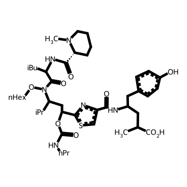 CCCCCCON(C(=O)C(NC(=O)[C@H]1CCCCN1C)C(C)CC)C(CC(OC(=O)NCCC)c1nc(C(=O)NC(Cc2ccc(O)cc2)CC(C)C(=O)O)cs1)C(C)C